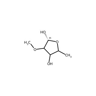 COC1C(O)C(C)O[C@H]1O